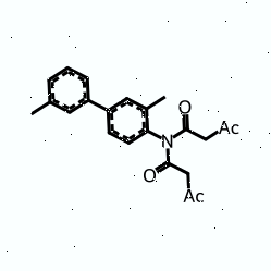 CC(=O)CC(=O)N(C(=O)CC(C)=O)c1ccc(-c2cccc(C)c2)cc1C